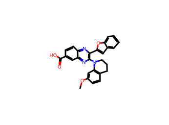 COc1ccc2c(c1)N(c1nc3cc(C(=O)O)ccc3nc1-c1cc3ccccc3o1)CCC2